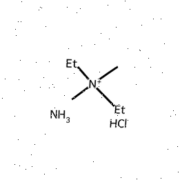 CC[N+](C)(C)CC.Cl.N